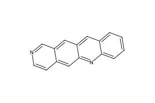 c1ccc2nc3cc4ccncc4cc3cc2c1